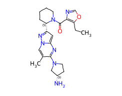 CCc1ocnc1C(=O)N1CCCC[C@H]1c1cc2nc(N3CC[C@H](N)C3)c(C)cn2n1